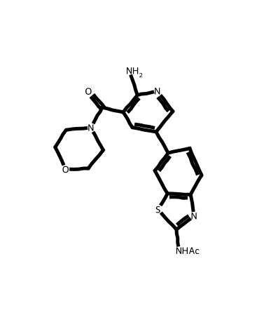 CC(=O)Nc1nc2ccc(-c3cnc(N)c(C(=O)N4CCOCC4)c3)cc2s1